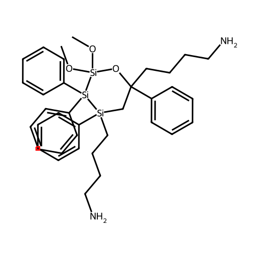 CO[Si]1(OC)OC(CCCCN)(c2ccccc2)C[Si](CCCCN)(c2ccccc2)[Si]1(c1ccccc1)c1ccccc1